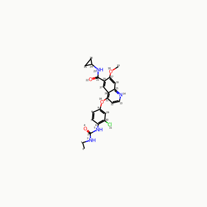 CCNC(=O)Nc1ccc(Oc2ccnc3cc(OC)c(C(=O)NC4CC4)cc23)cc1Cl